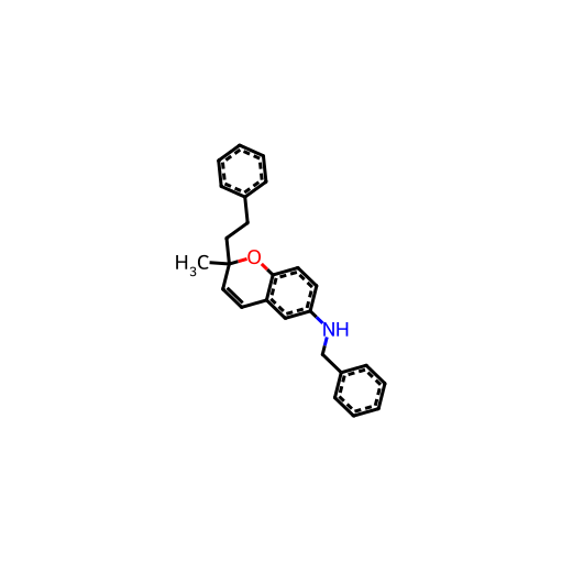 CC1(CCc2ccccc2)C=Cc2cc(NCc3ccccc3)ccc2O1